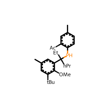 CCCC(CC)(Pc1ccc(C)cc1C(C)=O)c1cc(C)cc(C(C)(C)C)c1OC